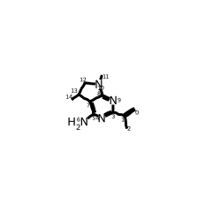 C=C(C)c1nc(N)c2c(n1)N(C)CC2C